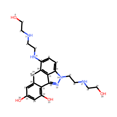 OCCNCCNc1ccc2c3c(nn2CCNCCO)-c2c(O)cc(O)cc2[Se]c13